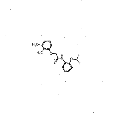 Cc1cccc(OCC(=O)Nc2ccccc2OC(F)F)c1C